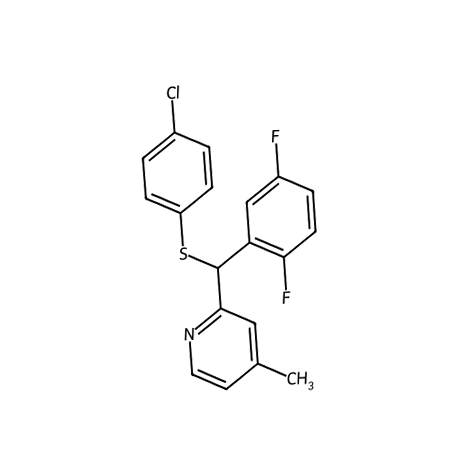 Cc1ccnc(C(Sc2ccc(Cl)cc2)c2cc(F)ccc2F)c1